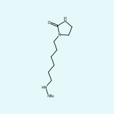 CCCCNCCCCCCN1CCNC1=O